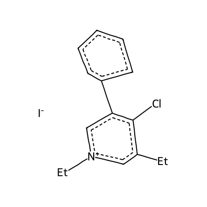 CCc1c[n+](CC)cc(-c2ccccc2)c1Cl.[I-]